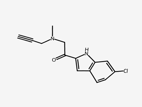 C#CCN(C)CC(=O)c1cc2ccc(Cl)cc2[nH]1